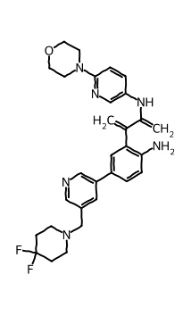 C=C(Nc1ccc(N2CCOCC2)nc1)C(=C)c1cc(-c2cncc(CN3CCC(F)(F)CC3)c2)ccc1N